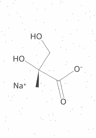 C[C@@](O)(CO)C(=O)[O-].[Na+]